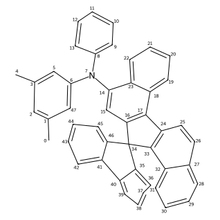 Cc1cc(C)cc(N(c2ccccc2)c2cc3c(c4ccccc24)-c2ccc4ccccc4c2C32c3ccccc3-c3ccccc32)c1